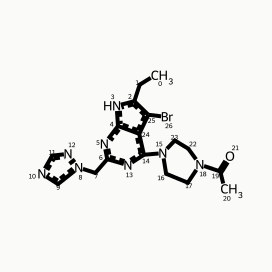 CCc1[nH]c2nc(Cn3cncn3)nc(N3CCN(C(C)=O)CC3)c2c1Br